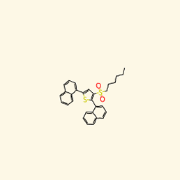 CCCCCCS(=O)(=O)c1cc(-c2cccc3ccccc23)sc1-c1cccc2ccccc12